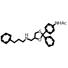 CC(=O)Nc1ccc(C2(c3ccccc3)OC(CNCCCc3ccccc3)CS2)cc1